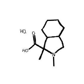 CN1CC2CCCCC2C1(C)C(=O)O.Cl